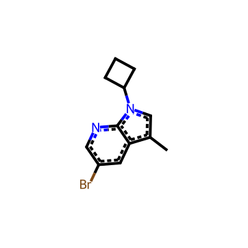 Cc1cn(C2CCC2)c2ncc(Br)cc12